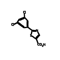 O=C(O)c1cnc(-c2cc(Cl)cc(Cl)c2)s1